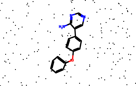 Nc1ncncc1-c1ccc(Oc2ccccc2)cc1